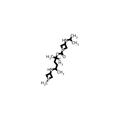 CC(C)NC1CN(C(=O)OC(C)(C)CCC(C)NC2CN(C)C2)C1